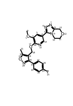 COc1cc(-c2nnc3n2CCOC3)cnc1OCc1c(-c2ccc(F)cc2)noc1C